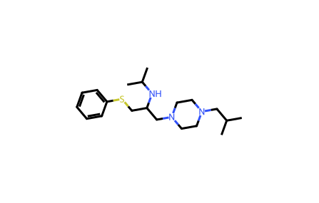 CC(C)CN1CCN(CC(CSc2ccccc2)NC(C)C)CC1